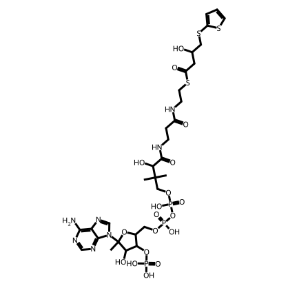 CC(C)(COP(=O)(O)OP(=O)(O)OCC1OC(C)(n2cnc3c(N)ncnc32)C(O)C1OP(=O)(O)O)C(O)C(=O)NCCC(=O)NCCSC(=O)CC(O)CSc1cccs1